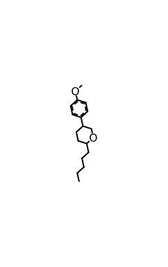 CCCCCC1CCC(c2ccc(OC)cc2)CO1